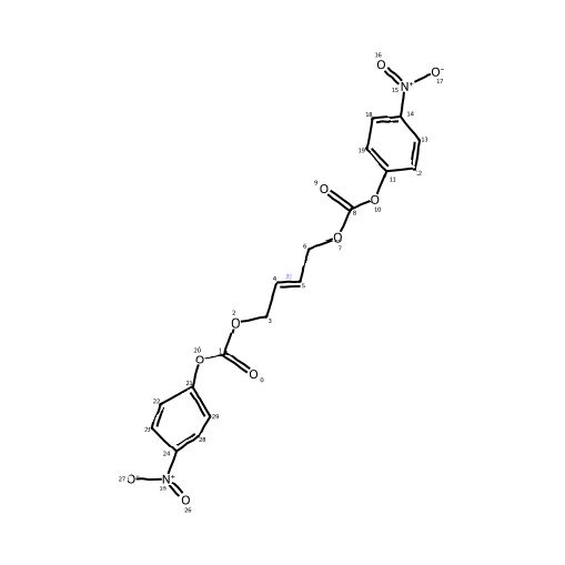 O=C(OC/C=C/COC(=O)Oc1ccc([N+](=O)[O-])cc1)Oc1ccc([N+](=O)[O-])cc1